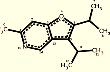 Cc1cc2oc(C(C)C)c(C(C)C)c2cn1